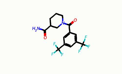 NC(=O)C1CCCN(C(=O)c2cc(C(F)(F)F)cc(C(F)(F)F)c2)C1